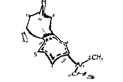 CN(C)c1ccc2c(c1)CNCC2